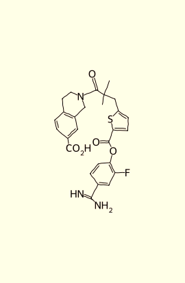 CC(C)(Cc1ccc(C(=O)Oc2ccc(C(=N)N)cc2F)s1)C(=O)N1CCc2ccc(C(=O)O)cc2C1